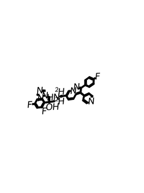 [2H]C([2H])(NCC(O)(Cn1cncn1)c1ccc(F)cc1F)c1ccc2c(-c3ccncc3)c(-c3ccc(F)cc3)nn2c1